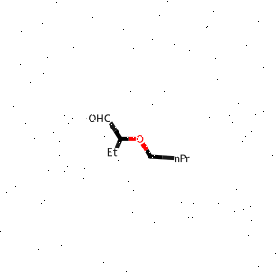 CCCCOC([C]=O)CC